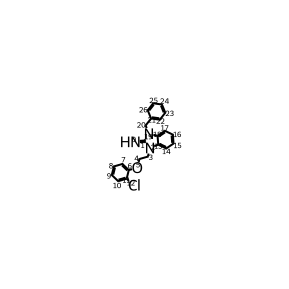 N=c1n(CCOc2ccccc2Cl)c2ccccc2n1Cc1ccccc1